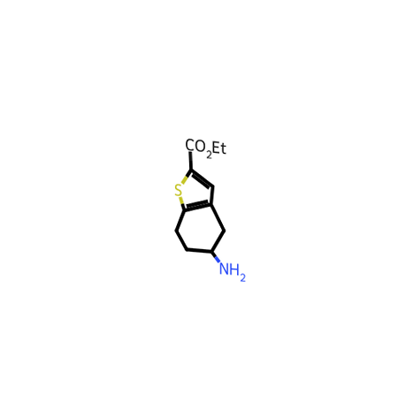 CCOC(=O)c1cc2c(s1)CCC(N)C2